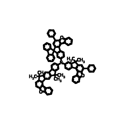 CC1(C)c2cc(N(c3ccc4c(c3)C(C)(C)c3cc(-c5ccccc5)c5oc6ccccc6c5c3-4)c3ccc4c(c3)C3(c5ccccc5-c5ccccc53)c3cc(-c5ccccc5)c5oc6ccccc6c5c3-4)ccc2-c2cc3c(cc21)-c1c(ccc2oc4ccccc4c12)C3(C)C